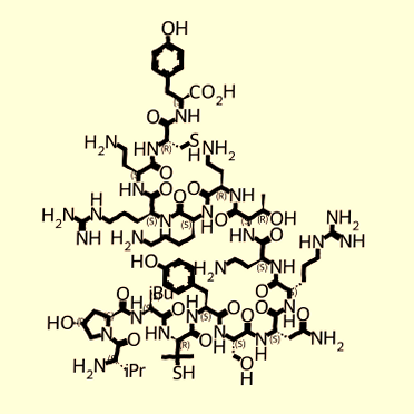 CC[C@H](C)[C@H](NC(=O)[C@@H]1C[C@@H](O)CN1C(=O)[C@@H](N)C(C)C)C(=O)N[C@H](C(=O)N[C@@H](Cc1ccc(O)cc1)C(=O)N[C@@H](CO)C(=O)N[C@@H](CC(N)=O)C(=O)N[C@@H](CCCNC(=N)N)C(=O)N[C@@H](CCN)C(=O)N[C@H](C(=O)N[C@H](CCN)C(=O)N[C@@H](CCCCN)C(=O)N[C@@H](CCCNC(=N)N)C(=O)N[C@@H](CCN)C(=O)N[C@@H](CS)C(=O)N[C@@H](Cc1ccc(O)cc1)C(=O)O)[C@@H](C)O)C(C)(C)S